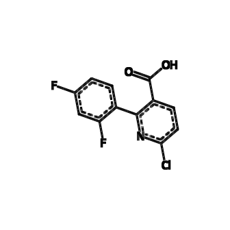 O=C(O)c1ccc(Cl)nc1-c1ccc(F)cc1F